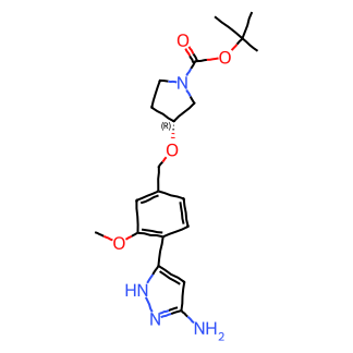 COc1cc(CO[C@@H]2CCN(C(=O)OC(C)(C)C)C2)ccc1-c1cc(N)n[nH]1